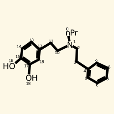 CCCN(CCc1ccccc1)CCc1ccc(O)c(O)c1